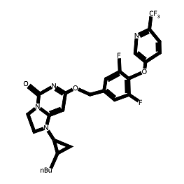 CCCCC1CC1N1CCn2c1cc(OCc1cc(F)c(Oc3ccc(C(F)(F)F)nc3)c(F)c1)nc2=O